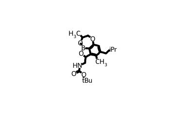 Cc1c(CC(C)C)cc2c3c1C(CNC(=O)OC(C)(C)C)OB3OC(C)CO2